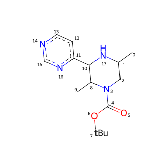 CC1CN(C(=O)OC(C)(C)C)C(C)C(c2ccncn2)N1